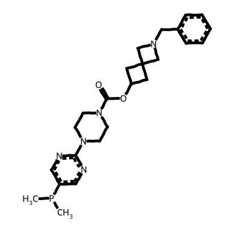 CP(C)c1cnc(N2CCN(C(=O)OC3CC4(C3)CN(Cc3ccccc3)C4)CC2)nc1